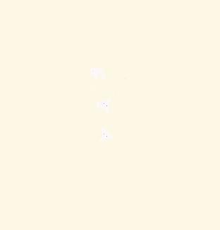 NC(=O)c1ccccc1NCCN1CCSCC1